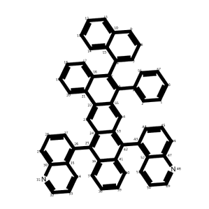 c1ccc(-c2c(-c3cccc4ccccc34)c3ccccc3c3cc4c(-c5cccc6ncccc56)c5ccccc5c(-c5cccc6ncccc56)c4cc23)cc1